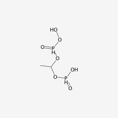 CC(O[PH](=O)O)O[PH](=O)OO